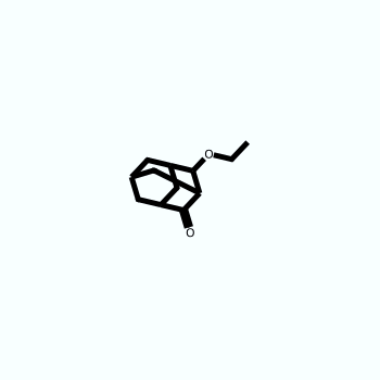 CCOC1C2CC3CC(C2)C(=O)C1C3